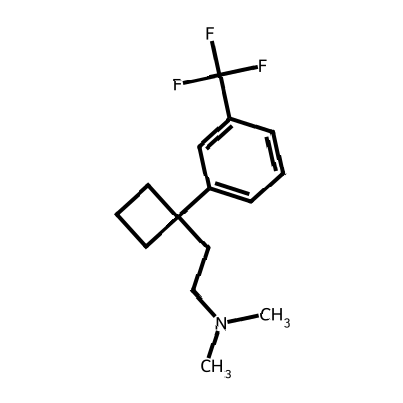 CN(C)CCC1(c2cccc(C(F)(F)F)c2)CCC1